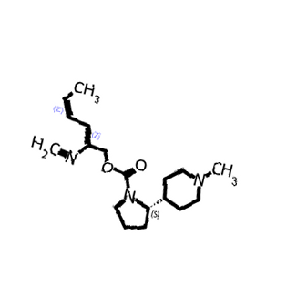 C=N/C(=C\C=C/C)COC(=O)N1CCC[C@H]1C1CCN(C)CC1